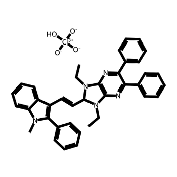 CCN1c2nc(-c3ccccc3)c(-c3ccccc3)nc2N(CC)C1/C=C/c1c(-c2ccccc2)n(C)c2ccccc12.[O-][Cl+3]([O-])([O-])O